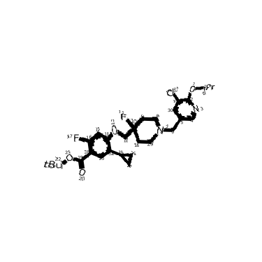 CC(C)Oc1ncc(CN2CCC(F)(COc3cc(F)c(C(=O)OC(C)(C)C)cc3C3CC3)CC2)cc1Cl